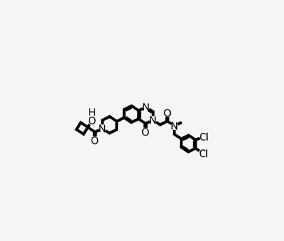 CN(Cc1ccc(Cl)c(Cl)c1)C(=O)Cn1cnc2ccc(C3CCN(C(=O)C4(O)CCC4)CC3)cc2c1=O